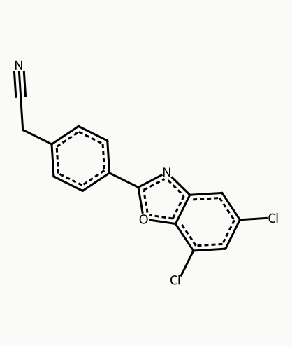 N#CCc1ccc(-c2nc3cc(Cl)cc(Cl)c3o2)cc1